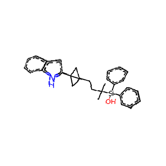 CC(C)(CCC12CC1(c1cc3ccccc3[nH]1)C2)[Si](O)(c1ccccc1)c1ccccc1